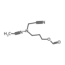 CC#[N+]N(CC#N)CCCOC=O